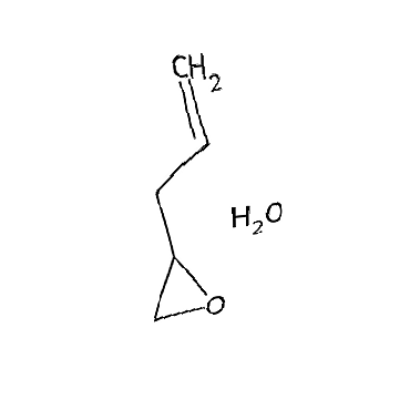 C=CCC1CO1.O